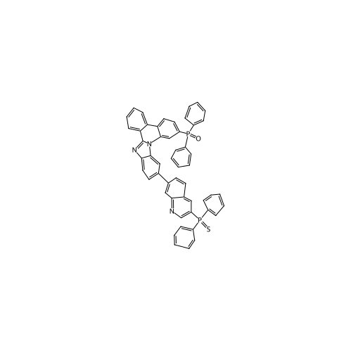 O=P(c1ccccc1)(c1ccccc1)c1ccc2c3ccccc3c3nc4ccc(-c5ccc6cc(P(=S)(c7ccccc7)c7ccccc7)cnc6c5)cc4n3c2c1